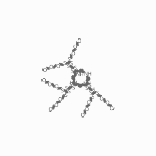 COCCOCCOCCSC1=C(SCCOCCOCCOC)SC(=C2Sc3c4[nH]c(c3S2)C(C)(C)c2[nH]c(c3c2SC(=C2SC(SCCOCCOCCOC)=C(SCCOCCOCCOC)S2)S3)C(C)(C)c2[nH]c(c3c2SC(=C2SC(SCCOCCOCCOC)=C(SCCOCCOCCOC)S2)S3)C(C)(C)CNCC4(C)C)S1